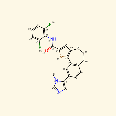 Cn1cncc1-c1ccc2c(c1)-c1sc(C(=O)Nc3c(F)cccc3F)cc1CCC2